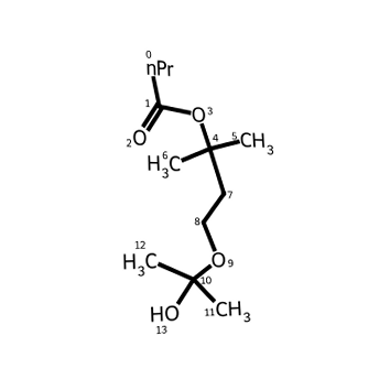 CCCC(=O)OC(C)(C)CCOC(C)(C)O